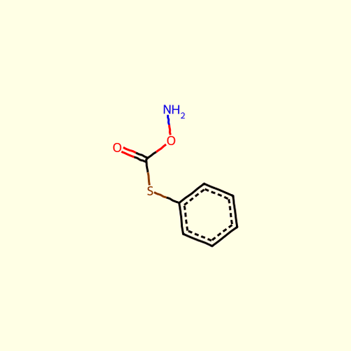 NOC(=O)Sc1ccccc1